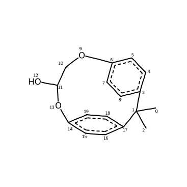 CC1(C)c2ccc(cc2)OCC(O)Oc2ccc1cc2